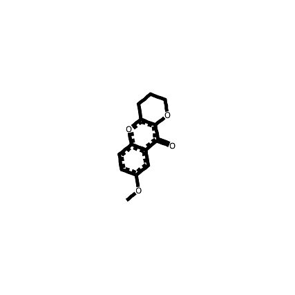 COc1ccc2oc3c(c(=O)c2c1)OCCC3